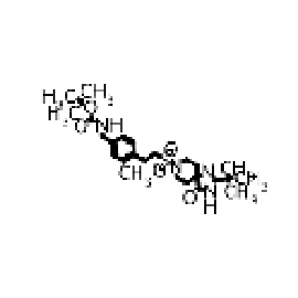 Cc1cc(CNC(=O)OC(C)(C)C)ccc1CCS(=O)(=O)N1CCC2(CC1)N=C(C(C)(C)C)NC2=O